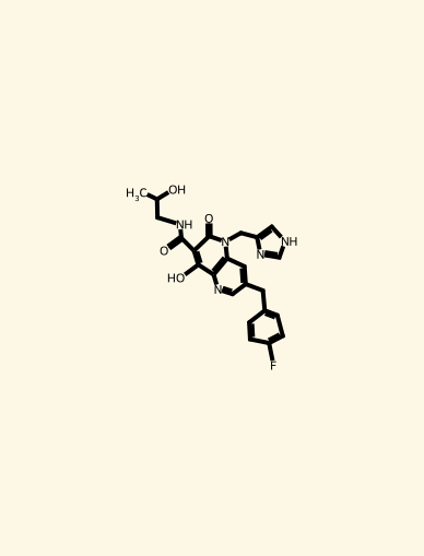 CC(O)CNC(=O)c1c(O)c2ncc(Cc3ccc(F)cc3)cc2n(Cc2c[nH]cn2)c1=O